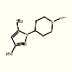 CCCN1CCC(n2nc(C(C)(C)C)cc2C(C)(C)C)CC1